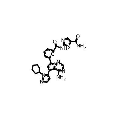 NC(=O)c1cnc(NC(=O)c2cccc(-c3cc(-c4ccnn4C4CCCCC4)c4c(N)ncnn34)c2)s1